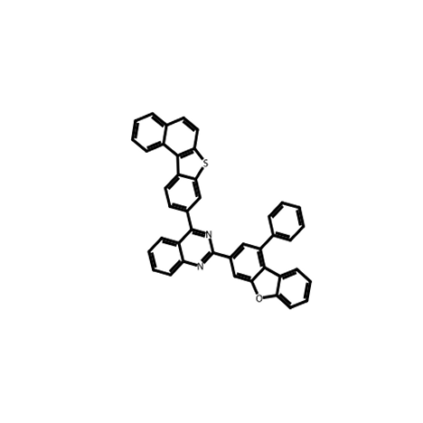 c1ccc(-c2cc(-c3nc(-c4ccc5c(c4)sc4ccc6ccccc6c45)c4ccccc4n3)cc3oc4ccccc4c23)cc1